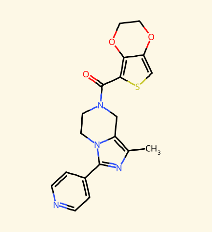 Cc1nc(-c2ccncc2)n2c1CN(C(=O)c1scc3c1OCCO3)CC2